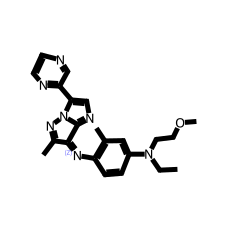 CCN(CCOC)c1ccc(/N=C2/C(C)=Nn3c(-c4cnccn4)cnc32)c(C)c1